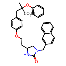 CCOC(=O)C(C)(Cc1ccc(OCCC2CN(Cc3ccc4ccccc4c3)C(=O)N2)cc1)Oc1ccccc1